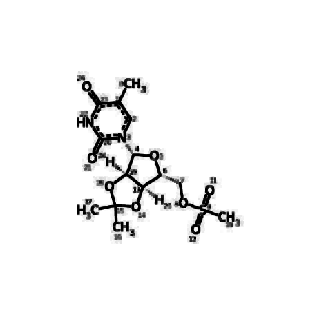 Cc1cn([C@@H]2O[C@H](COS(C)(=O)=O)[C@H]3OC(C)(C)O[C@H]32)c(=O)[nH]c1=O